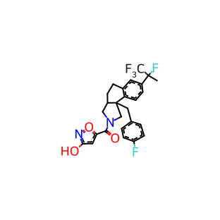 CC(F)(c1ccc2c(c1)CCC1CN(C(=O)c3cc(O)no3)CC21Cc1ccc(F)cc1)C(F)(F)F